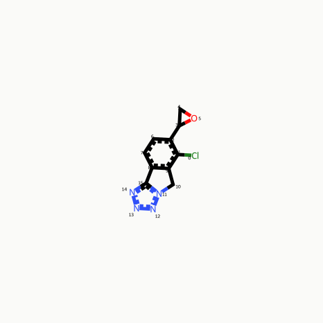 Clc1c(C2CO2)ccc2c1Cn1nnnc1-2